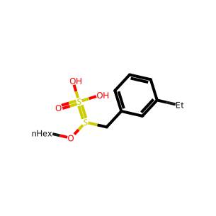 CCCCCCOS(Cc1cccc(CC)c1)=S(=O)(O)O